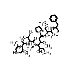 CCC(C)C(C(CC(=O)N1CCC[C@H]1C(OC)C(C)C(=O)NC(CO)Cc1ccccc1)OC)N(C)C(=O)C(NC(=O)N1[C@H](C)CNC[C@@H]1C)C(C)C